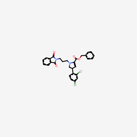 O=C(OCc1ccccc1)C1=CC(c2ccc(Cl)cc2Cl)CN1CCCN1C(=O)c2ccccc2C1=O